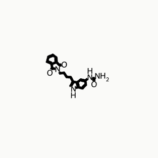 NC(=O)Nc1ccc2[nH]cc(CCCCN3C(=O)c4ccccc4C3=O)c2c1